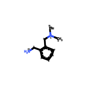 CN(Cc1ccccc1CN)C(C)(C)C